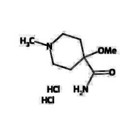 COC1(C(N)=O)CCN(C)CC1.Cl.Cl